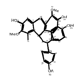 COc1c(O)cc(C)c(C(CC(c2ccc(O)cc2)c2ccc(O)cc2)c2c(C)cc(O)c(OC)c2C)c1C